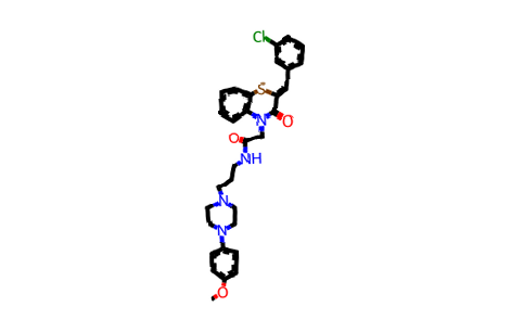 COc1ccc(N2CCN(CCCNC(=O)CN3C(=O)C(=Cc4cccc(Cl)c4)Sc4ccccc43)CC2)cc1